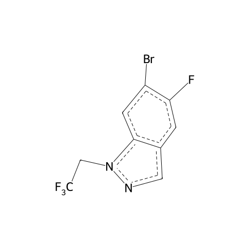 Fc1cc2cnn(CC(F)(F)F)c2cc1Br